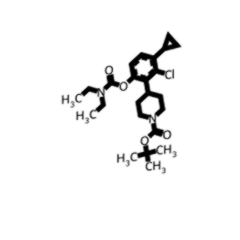 CCN(CC)C(=O)Oc1ccc(C2CC2)c(Cl)c1C1CCN(C(=O)OC(C)(C)C)CC1